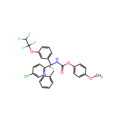 COc1ccc(OC(=O)N[C@](Cc2ccccc2)(c2cccc(OC(F)(F)C(F)F)c2)c2ccc(Cl)cn2)cc1